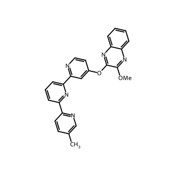 COc1nc2ccccc2nc1Oc1ccnc(-c2cccc(-c3ccc(C)cn3)n2)c1